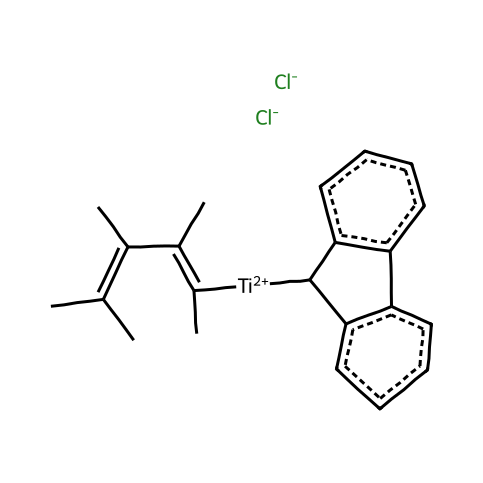 CC(C)=C(C)C(C)=[C](C)[Ti+2][CH]1c2ccccc2-c2ccccc21.[Cl-].[Cl-]